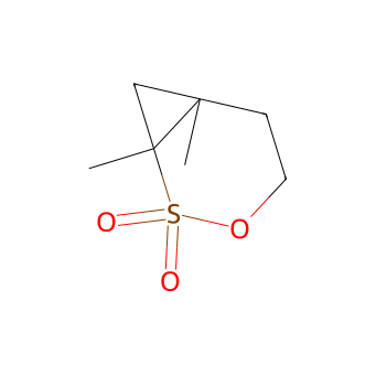 CC12CCOS(=O)(=O)C1(C)C2